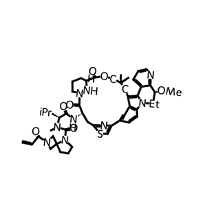 C=CC(=O)N1CC2(CCCN2C(=O)N(C)[C@H](C(=O)N[C@H]2Cc3nc(cs3)-c3ccc4c(c3)c(c(-c3cccnc3[C@H](C)OC)n4CC)CC(C)(C)COC(=O)[C@@H]3CCCN(N3)C2=O)C(C)C)C1